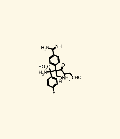 N=C(N)c1ccc(C(CO)(C(=O)C(N)CC=O)C(N)(C(=O)O)c2ccc(F)cc2)cc1